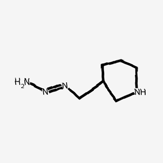 NN=NCC1CCCNC1